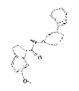 Cc1ccc2c(c1)C(C(=O)NN1CCCC(c3ccccc3)C1)CC2